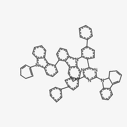 C1=CCC2C(=C1)c1ccccc1N2c1nc(-c2ccc(-c3ccccc3)cc2)nc(-c2ccc(-c3ccccc3)cc2-n2c3ccccc3c3c(-c4cccc5c4c4ccccc4n5C4=CCCC=C4)cccc32)n1